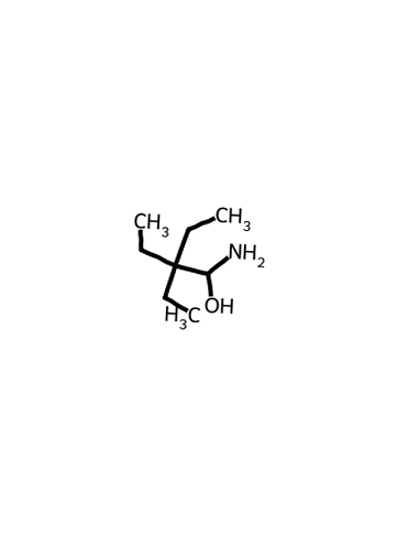 CCC(CC)(CC)C(N)O